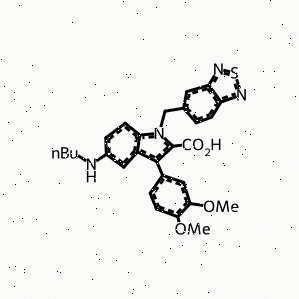 CCCCNc1ccc2c(c1)c(-c1ccc(OC)c(OC)c1)c(C(=O)O)n2Cc1ccc2nsnc2c1